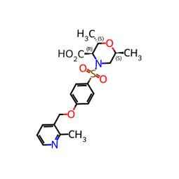 Cc1ncccc1COc1ccc(S(=O)(=O)N2C[C@H](C)O[C@@H](C)[C@@H]2C(=O)O)cc1